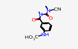 CN(C#N)C(=O)N(C)C(=O)c1cccc(NC(=O)O)c1